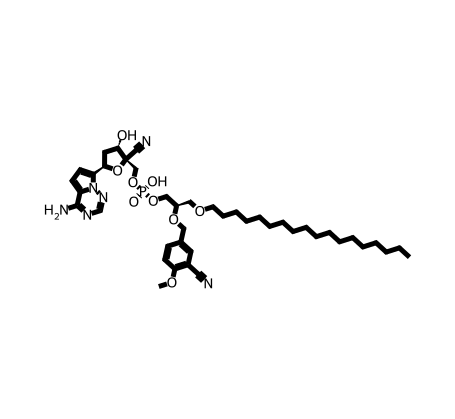 CCCCCCCCCCCCCCCCCCOC[C@H](COP(=O)(O)OC[C@@]1(C#N)O[C@@H](c2ccc3c(N)ncnn23)C[C@@H]1O)OCc1ccc(OC)c(C#N)c1